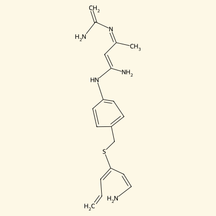 C=C/C=C(\C=C/N)SCc1ccc(N/C(N)=C/C(C)=N\C(=C)N)cc1